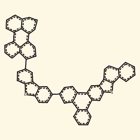 c1ccc2c(c1)ccc1c3cc4c5ccc(-c6ccc7oc8ccc(-c9ccc%10c%11cccc%12cccc(c%13cccc9c%13%10)c%12%11)cc8c7c6)cc5c5ccccc5c4cc3sc21